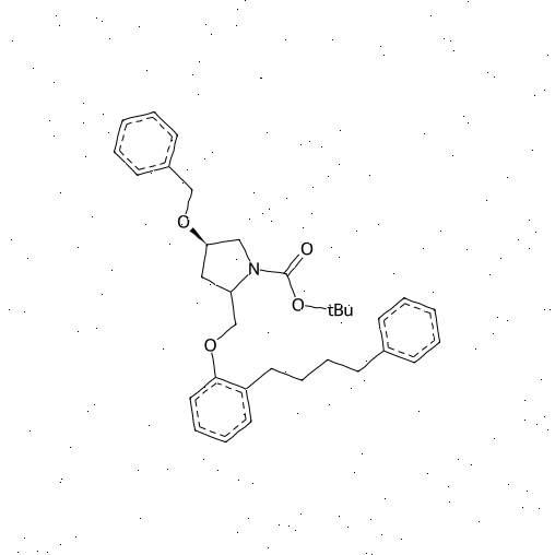 CC(C)(C)OC(=O)N1C[C@H](OCc2ccccc2)CC1COc1ccccc1CCCCc1ccccc1